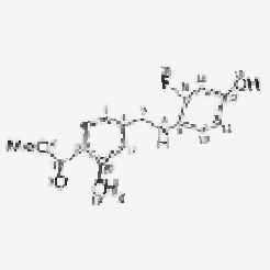 COC(=O)c1ccc(CNc2ccc(O)cc2F)cc1C